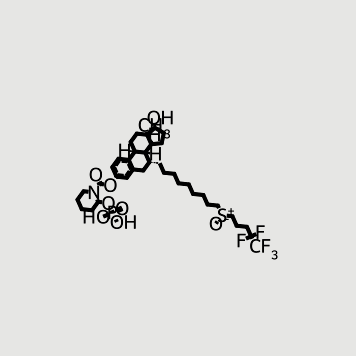 C[C@]12CC[C@@H]3c4ccc(OC(=O)N5CCCCC5OP(=O)(O)O)cc4C[C@@H](CCCCCCCCC[S+]([O-])CCCC(F)(F)C(F)(F)F)[C@H]3[C@@H]1CC[C@@H]2O